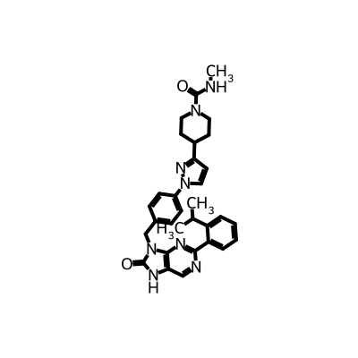 CNC(=O)N1CCC(c2ccn(-c3ccc(Cn4c(=O)[nH]c5cnc(-c6ccccc6C(C)C)nc54)cc3)n2)CC1